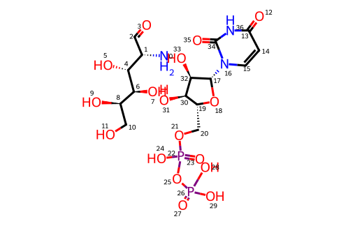 N[C@@H](C=O)[C@@H](O)[C@@H](O)[C@H](O)CO.O=c1ccn([C@@H]2O[C@H](COP(=O)(O)OP(=O)(O)O)[C@@H](O)[C@H]2O)c(=O)[nH]1